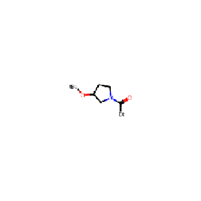 CCC(=O)N1CCC(OC(C)(C)C)C1